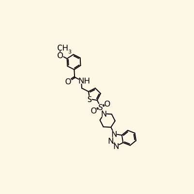 COc1cccc(C(=O)NCc2ccc(S(=O)(=O)N3CCC(n4nnc5ccccc54)CC3)s2)c1